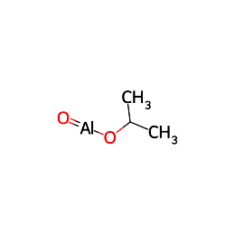 CC(C)[O][Al]=[O]